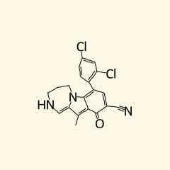 Cc1c2c(n3c1=CNCCC3)=C(c1ccc(Cl)cc1Cl)C=C(C#N)C2=O